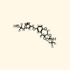 CN1C(=O)[C@@H](OC(=O)NC(C)(C)C)COc2ccc(OCc3cn(CC(C)(C)O)nn3)cc21